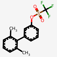 Cc1cccc(C)c1-c1cccc(OS(=O)(=O)C(F)(F)F)c1